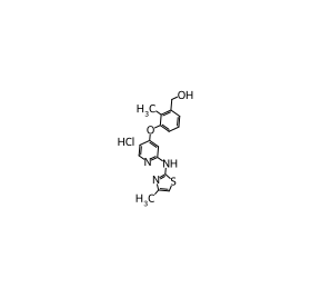 Cc1csc(Nc2cc(Oc3cccc(CO)c3C)ccn2)n1.Cl